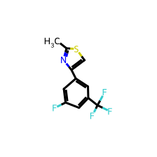 Cc1nc(-c2cc(F)cc(C(F)(F)F)c2)cs1